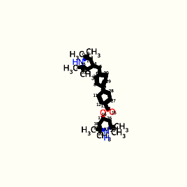 CC1(C)CC(Cc2ccc(-c3ccc(C(=O)OC4CC(C)(C)NC(C)(C)C4)cc3)cc2)CC(C)(C)N1